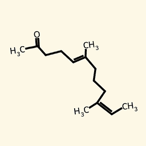 CC=C(C)CCCC(C)=CCCC(C)=O